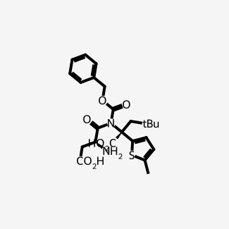 Cc1ccc([C@](CC(C)(C)C)(C(=O)O)N(C(=O)OCc2ccccc2)C(=O)[C@@H](N)CC(=O)O)s1